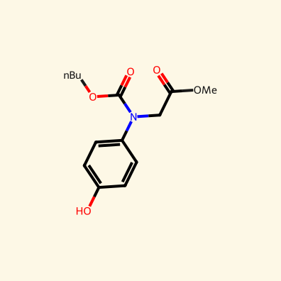 CCCCOC(=O)N(CC(=O)OC)c1ccc(O)cc1